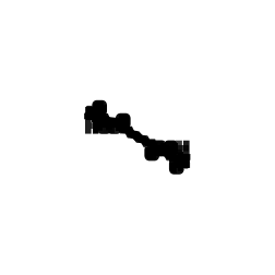 C=C(C)C(=O)OCC(O)COC(=O)CCCCCCCCC(=O)OCC(O)COC(=O)C(=C)C